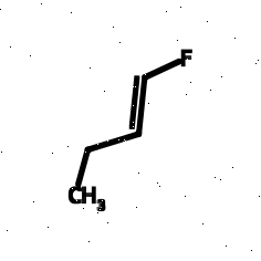 CCC=CF